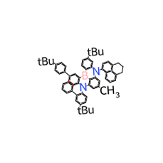 Cc1cc2c3c(c1)N(c1ccc4c5c(cccc15)CCC4)c1cc(C(C)(C)C)ccc1B3c1cc(-c3ccc(C(C)(C)C)cc3)ccc1N2c1ccc(C(C)(C)C)cc1-c1ccccc1